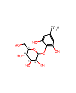 O=C(O)c1cc(O)c(OC2O[C@H](CO)[C@@H](O)[C@H](O)[C@@H]2O)c(O)c1